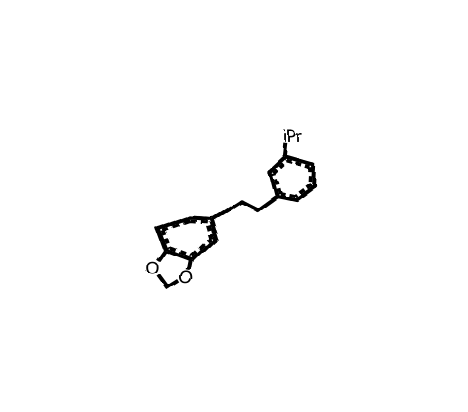 CC(C)c1cccc(CCc2ccc3c(c2)OCO3)c1